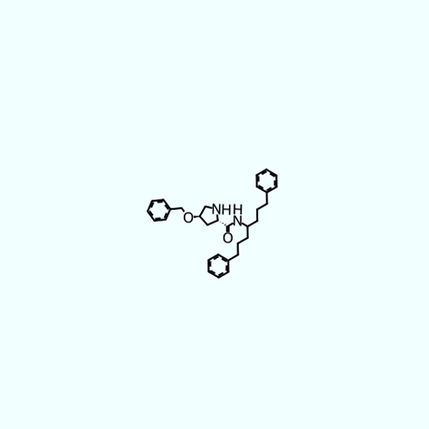 O=C(NC(CCCc1ccccc1)CCCc1ccccc1)[C@@H]1C[C@@H](OCc2ccccc2)CN1